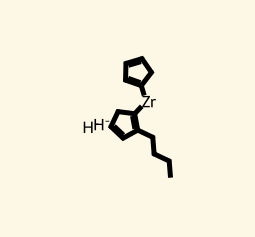 CCCCC1=[C]([Zr][C]2=CC=CC2)CC=C1.[H-].[H-]